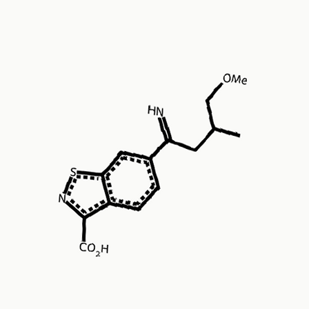 COCC(C)CC(=N)c1ccc2c(C(=O)O)nsc2c1